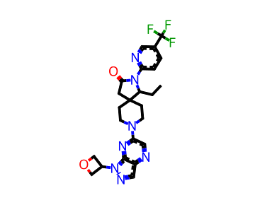 CCC1N(c2ccc(C(F)(F)F)cn2)C(=O)CC12CCN(c1cnc3cnn(C4COC4)c3n1)CC2